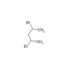 CCC(C)[CH]C(C)C(C)C